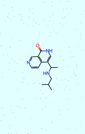 CC(C)CNC(C)c1c[nH]c(=O)c2cnccc12